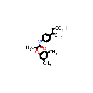 Cc1cc(C)cc(OC(C)C(=O)Nc2ccc(C(C)CC(=O)O)cc2)c1